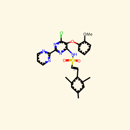 COc1ccccc1Oc1c(Cl)nc(-c2ncccn2)nc1NS(=O)(=O)/C=C/c1c(C)cc(C)cc1C